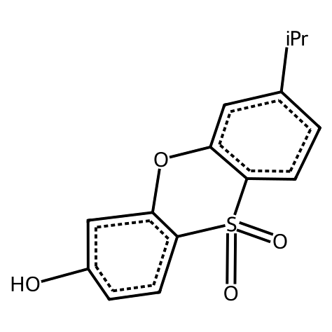 CC(C)c1ccc2c(c1)Oc1cc(O)ccc1S2(=O)=O